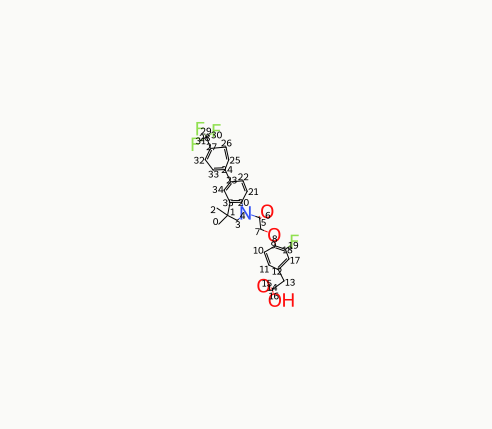 CC1(C)CN(C(=O)COc2ccc(CC(=O)O)cc2F)c2ccc(-c3ccc(C(F)(F)F)cc3)cc21